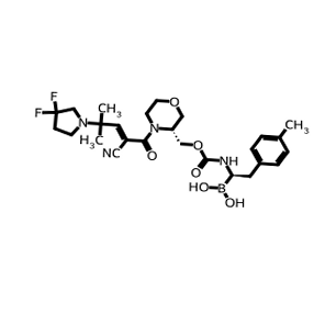 Cc1ccc(C[C@H](NC(=O)OC[C@H]2COCCN2C(=O)C(C#N)=CC(C)(C)N2CCC(F)(F)C2)B(O)O)cc1